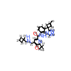 CC1CC(c2cccc(NC(=O)c3cc(CNCC4(C)CCC4)c4c(n3)C(C)(C)CO4)c2)(c2nncn2C)C1